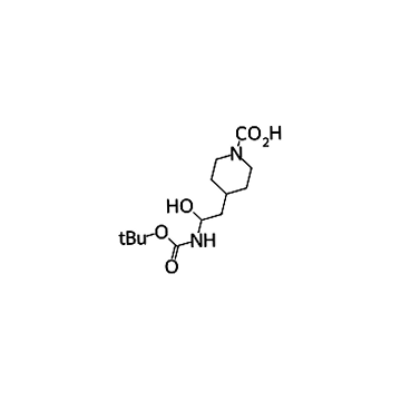 CC(C)(C)OC(=O)NC(O)CC1CCN(C(=O)O)CC1